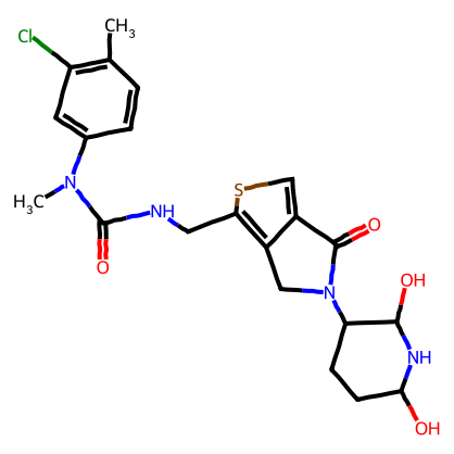 Cc1ccc(N(C)C(=O)NCc2scc3c2CN(C2CCC(O)NC2O)C3=O)cc1Cl